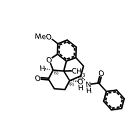 COc1ccc2c3c1O[C@@H]1C(=O)CC[C@](O)([C@@H](NC(=O)c4ccccc4)C2)C31C